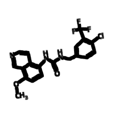 COc1ccc(NC(=O)NCc2ccc(Cl)c(C(F)(F)F)c2)c2ccncc12